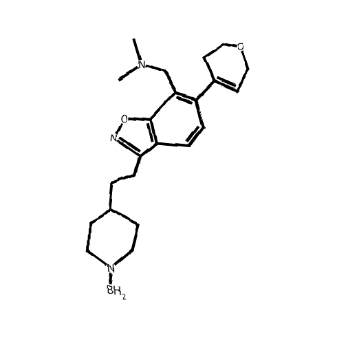 BN1CCC(CCc2noc3c(CN(C)C)c(C4=CCOCC4)ccc23)CC1